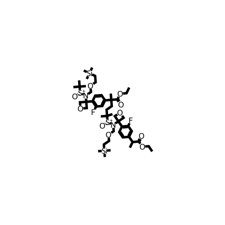 CCOC(=O)C(C)c1ccc(C2(N(COCC[Si](C)(C)C)[S+]([O-])C(C)(C)CCC(C)(C(=O)OCC)c3ccc(C4(N(COCC[Si](C)(C)C)[S+]([O-])C(C)(C)C)COC4)c(F)c3)COC2)c(F)c1